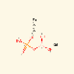 O=P(O)(O)OB(O)O.[Eu].[Gd].[V].[Y]